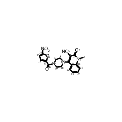 Cn1c(=O)c(C#N)c(N2CCN(C(=O)c3ccc([N+](=O)[O-])o3)CC2)c2ccccc21